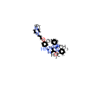 COc1cc(Nc2ncc3c(=O)n(-c4c(C)cccc4C)c4nc5ccccc5n4c3n2)ccc1OCCCN1CCN(C(C)C)CC1